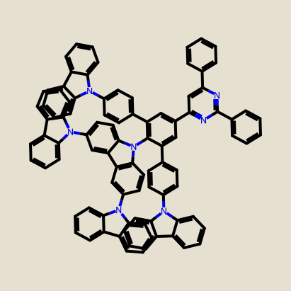 c1ccc(-c2cc(-c3cc(-c4ccc(-n5c6ccccc6c6ccccc65)cc4)c(-n4c5ccc(-n6c7ccccc7c7ccccc76)cc5c5cc(-n6c7ccccc7c7ccccc76)ccc54)c(-c4ccc(-n5c6ccccc6c6ccccc65)cc4)c3)nc(-c3ccccc3)n2)cc1